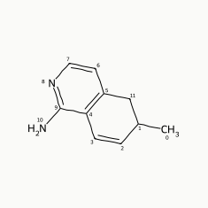 CC1C=Cc2c(ccnc2N)C1